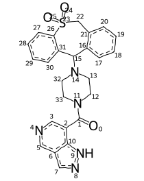 O=C(c1cncc2cn[nH]c12)N1CCN(C2c3ccccc3CS(=O)(=O)c3ccccc32)CC1